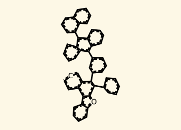 c1ccc(-c2c(-c3cccc(-c4c5ccccc5c(-c5cccc6ccccc56)c5ccccc45)c3)c3ccccc3c3c2oc2ccccc23)cc1